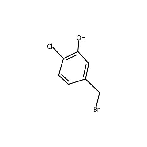 Oc1cc(CBr)ccc1Cl